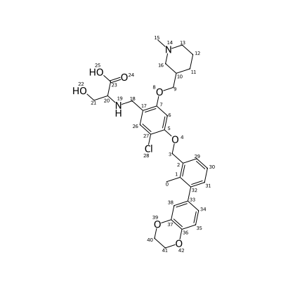 Cc1c(COc2cc(OCC3CCCN(C)C3)c(CNC(CO)C(=O)O)cc2Cl)cccc1-c1ccc2c(c1)OCCO2